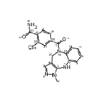 Cn1ncc2c1Nc1ccccc1N(C(=O)c1ccc(C(N)=O)c(Cl)c1)C2